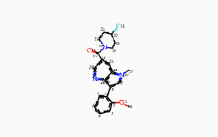 COc1ccccc1-c1cn(C)c2cc(C(=O)N3CCC(F)CC3)cnc12